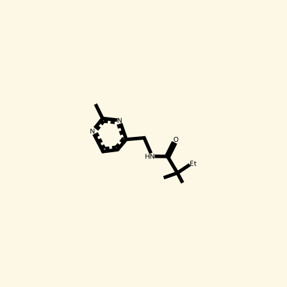 CCC(C)(C)C(=O)NCc1ccnc(C)n1